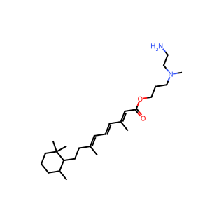 CC(/C=C/C=C(\C)CCC1C(C)CCCC1(C)C)=C\C(=O)OCCCN(C)CCN